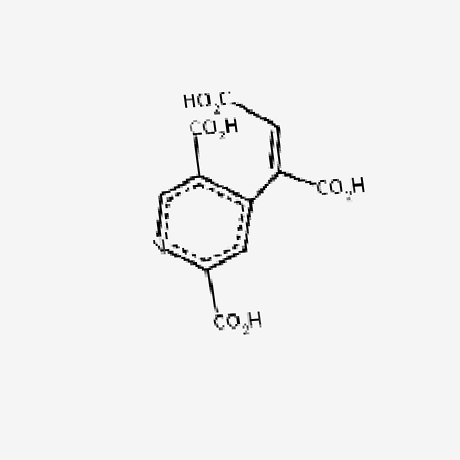 O=C(O)/C=C(/C(=O)O)c1cc(C(=O)O)ncc1C(=O)O